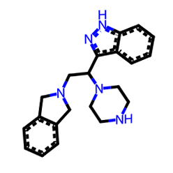 c1ccc2c(c1)CN(CC(c1n[nH]c3ccccc13)N1CCNCC1)C2